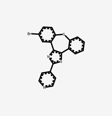 Brc1ccc2c(c1)-c1nc(-c3ccncc3)sc1-c1ccccc1S2